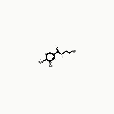 Nc1ccc(C(=O)NCCO)cc1N